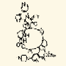 CCn1c(-c2cc(N3CCN(C)CC3)cnc2[C@H](C)OC)c2c3cc(ccc31)-c1csc(n1)C[C@H](NC(=O)[C@H](C(C)C)N(C)C(=O)[C@@H]1OCC[C@@H]1c1cccnc1)C(=O)N1CCC[C@@](O)(N1)C(=O)OCC(C)(C)C2